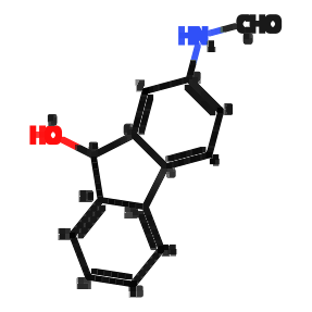 O=CNc1ccc2c(c1)C(O)c1ccccc1-2